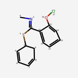 C/N=C(\SC1C=CC=CC1)c1ccccc1OCl